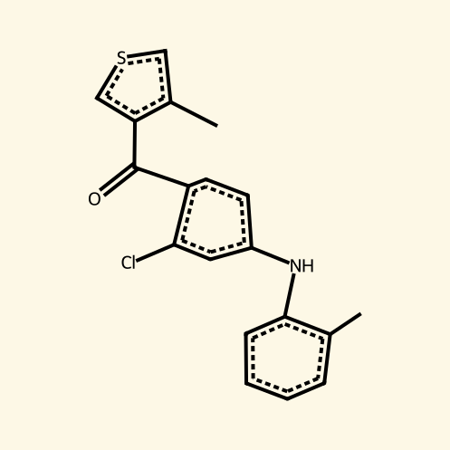 Cc1ccccc1Nc1ccc(C(=O)c2cscc2C)c(Cl)c1